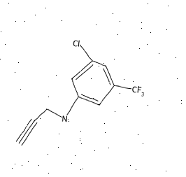 C#CC[N]c1cc(Cl)cc(C(F)(F)F)c1